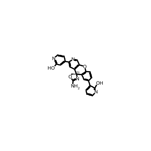 NC1=N[C@@]2(CO1)c1cc(-c3cccnc3O)ccc1Oc1cnc(-c3ccnc(O)c3)cc12